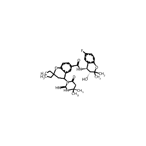 CCC1(CC)CC(N2C(=N)NC(C)(C)CC2=O)c2cc(C(=O)N[C@H]3c4cc(F)ccc4OC(C)(C)[C@@H]3O)ccc2O1